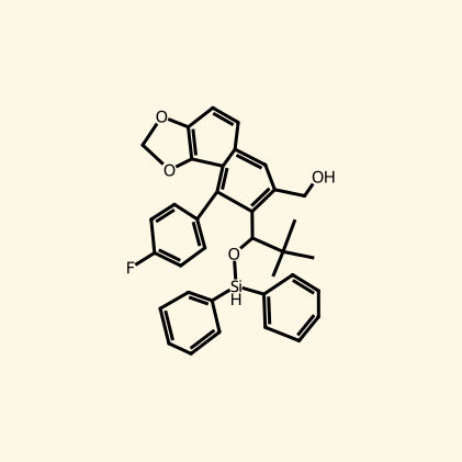 CC(C)(C)C(O[SiH](c1ccccc1)c1ccccc1)c1c(CO)cc2ccc3c(c2c1-c1ccc(F)cc1)OCO3